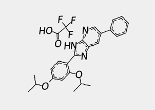 CC(C)Oc1ccc(-c2nc3cc(-c4ccccc4)cnc3[nH]2)c(OC(C)C)c1.O=C(O)C(F)(F)F